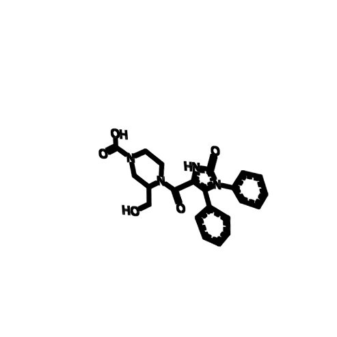 O=C(O)N1CCN(C(=O)c2[nH]c(=O)n(-c3ccccc3)c2-c2ccccc2)C(CO)C1